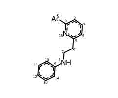 CC(=O)c1cccc(CCNc2ccccc2)n1